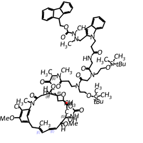 COc1cc2cc(c1Cl)N(C)C(=O)C[C@H](OC(=O)[C@H](C)N(C)C(=O)CCN(CCO[Si](C)(C)C(C)(C)C)C(=O)CN(CCO[Si](C)(C)C(C)(C)C)C(=O)CNC(=O)CCn1c(CN(C)N(C)C(=O)OCC3c4ccccc4-c4ccccc43)cc3ccccc31)[C@@]1(C)CC(C)(O1)[C@@H]1C[C@@](O)(NC(=O)O1)[C@H](OC)/C=C/C=C(\C)C2